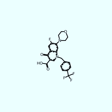 O=C(O)c1cn(Cc2ccc(C(F)(F)F)cc2)c2cc(N3CCOCC3)c(F)cc2c1=O